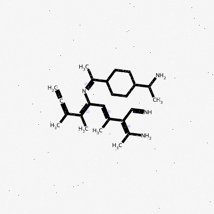 C=C=C(C)/C(C)=C(/C=C(C)/C(C=N)=C(\C)N)\N=C(\C)C1CCC(C(C)N)CC1